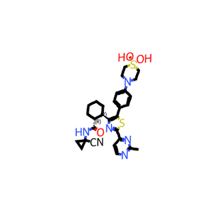 Cc1nccc(-c2nc([C@@H]3CCCC[C@H]3C(=O)NC3(C#N)CC3)c(-c3ccc(N4CCS(O)(O)CC4)cc3)s2)n1